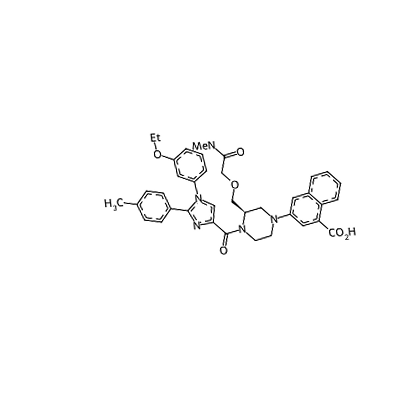 CCOc1cccc(-n2cc(C(=O)N3CCN(c4cc(C(=O)O)c5ccccc5c4)C[C@@H]3COCC(=O)NC)nc2-c2ccc(C)cc2)c1